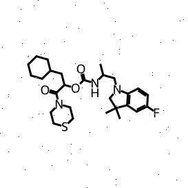 CC(CN1CC(C)(C)c2cc(F)ccc21)NC(=O)OC(CC1CCCCC1)C(=O)N1CCSCC1